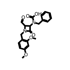 COc1ccc(CN2C(=O)C(N(Cc3ccccc3)C(=O)O)C2C=O)c(OC)c1